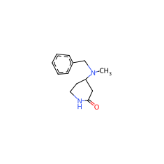 CN(Cc1ccccc1)C1CCNC(=O)C1